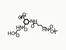 CC(C)(C)OC(=O)NCCCCCC(=O)Nc1cc(C(=O)NCCC(=O)O)cc([N+](=O)[O-])c1